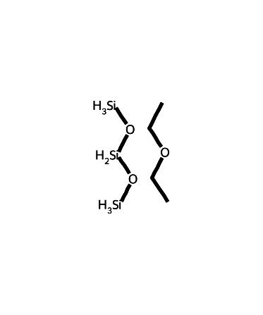 CCOCC.[SiH3]O[SiH2]O[SiH3]